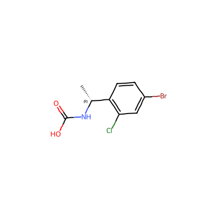 C[C@@H](NC(=O)O)c1ccc(Br)cc1Cl